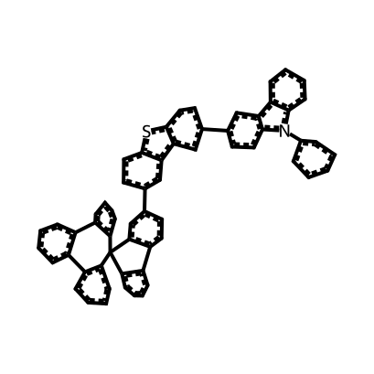 c1ccc(-n2c3ccccc3c3cc(-c4ccc5sc6ccc(-c7ccc8c(c7)C7(c9ccccc9-c9ccccc9-c9ccccc97)c7ccccc7-8)cc6c5c4)ccc32)cc1